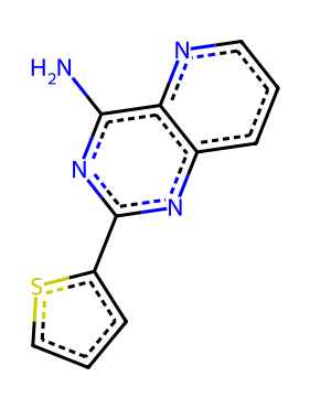 Nc1nc(-c2cccs2)nc2cccnc12